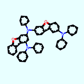 c1ccc(N(c2ccc3c(c2)oc2ccc(N(c4ccccc4)c4ccccc4)cc23)c2cc(N(c3ccccc3)c3ccccc3)c3c(c2)oc2ccccc23)cc1